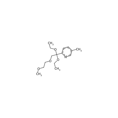 CCOC(COCCOC)(OCC)c1ccc(C)cn1